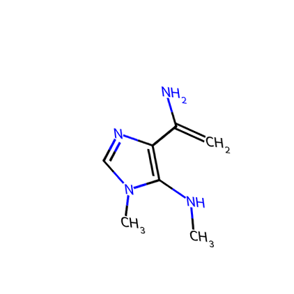 C=C(N)c1ncn(C)c1NC